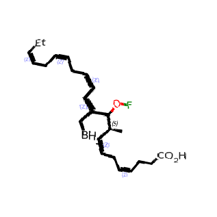 BC/C(=C/C=C\C/C=C\C/C=C\CC)C(OF)[C@@H](C)/C=C\C/C=C\CCC(=O)O